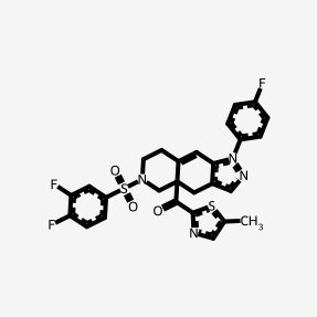 Cc1cnc(C(=O)C23Cc4cnn(-c5ccc(F)cc5)c4C=C2CCN(S(=O)(=O)c2ccc(F)c(F)c2)C3)s1